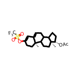 CC(=O)O[C@H]1CCC2C3CC=C4C=C(OS(=O)(=O)C(F)(F)F)CC[C@]4(C)C3CC[C@@]21C